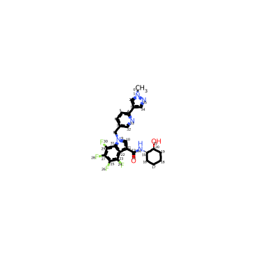 Cn1cc(-c2ccc(Cn3cc(C(=O)N[C@H]4CCCC[C@@H]4O)c4c(F)c(F)c(F)c(F)c43)cn2)cn1